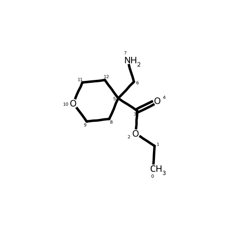 CCOC(=O)C1(CN)CCOCC1